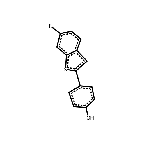 Oc1ccc(-c2cc3ccc(F)cc3s2)cc1